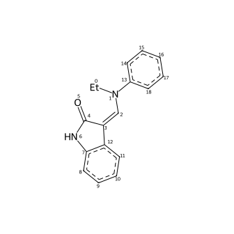 CCN(C=C1C(=O)Nc2ccccc21)c1ccccc1